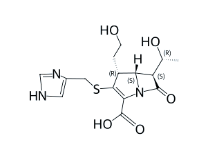 C[C@@H](O)[C@H]1C(=O)N2C(C(=O)O)=C(SCc3c[nH]cn3)[C@H](CCO)[C@H]12